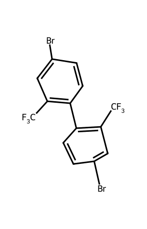 FC(F)(F)c1cc(Br)ccc1-c1ccc(Br)cc1C(F)(F)F